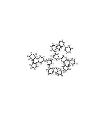 c1ccc(-c2cccc3c2sc2c(-c4cc(-c5cc(-c6ccc7c8ccccc8c8ccccc8c7c6)cc(-c6cccc7c6sc6ccccc67)c5)cc(-c5ccc6c7ccccc7c7ccccc7c6c5)c4)cccc23)cc1